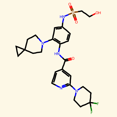 O=C(Nc1ccc(NS(=O)(=O)CCO)cc1N1CCC2(CC1)CC2)c1ccnc(N2CCC(F)(F)CC2)c1